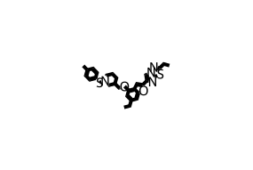 CCc1cc(OCC2CCCN(Sc3ccc(C)cc3)C2)c2cc(-c3cn4nc(CC)sc4n3)oc2c1